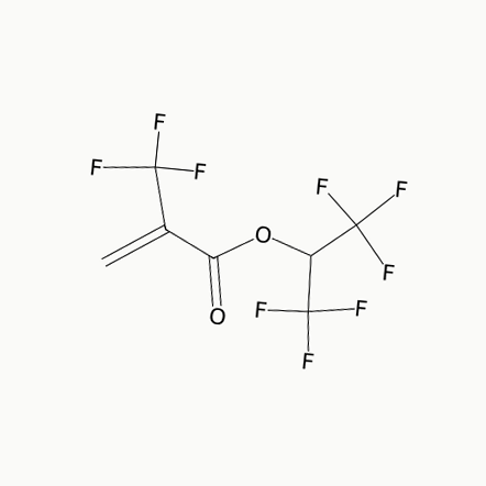 C=C(C(=O)OC(C(F)(F)F)C(F)(F)F)C(F)(F)F